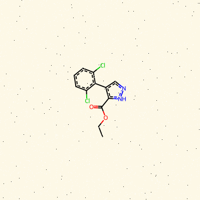 CCOC(=O)c1[nH]ncc1-c1c(Cl)cccc1Cl